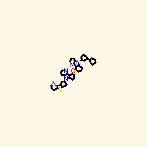 c1ccc(-c2cccc(-n3c4cccnc4c4c(Oc5cccc6c5c5ncccc5n6-c5ccc6sc7cccnc7c6c5)cccc43)c2)cc1